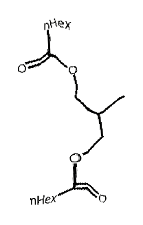 CCCCCCC(=O)OCC(C)COC(=O)CCCCCC